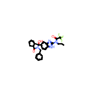 CCCN(C(=O)C(F)(F)F)c1nc2cc(C3(O)c4ccccc4C(=O)N3Cc3ccccc3)ccc2[nH]1